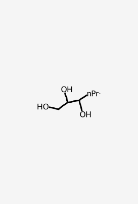 CC[CH]C(O)C(O)CO